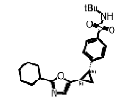 CC(C)(C)NS(=O)(=O)c1ccc([C@@H]2C[C@H]2c2cnc(C3CCCCC3)o2)cc1